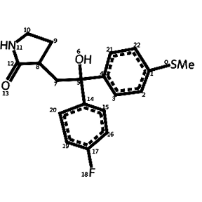 CSc1ccc(C(O)(CC2CCNC2=O)c2ccc(F)cc2)cc1